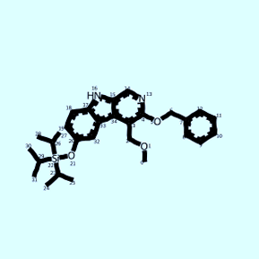 COCc1c(OCc2ccccc2)ncc2[nH]c3ccc(O[Si](C(C)C)(C(C)C)C(C)C)cc3c12